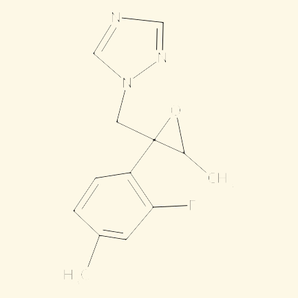 Cc1ccc(C2(Cn3cncn3)OC2C)c(F)c1